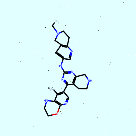 Cc1c(-c2nc(Nc3cnc4c(c3)CN(CC(F)(F)F)CC4)nc3c2CCNC3)cnc2c1NCCO2